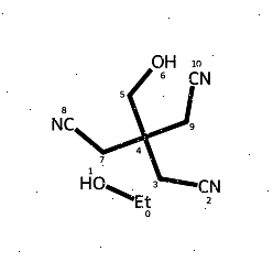 CCO.N#CCC(CO)(CC#N)CC#N